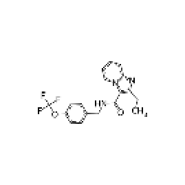 CCc1nc2ccccn2c1C(=O)NCc1ccc(OC(F)(F)F)cc1